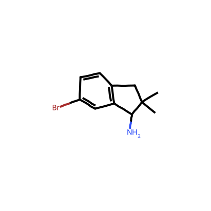 CC1(C)Cc2ccc(Br)cc2C1N